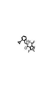 Cn1nc(C(F)F)c(C(=O)NCc2ccccc2C2CC2)c1F